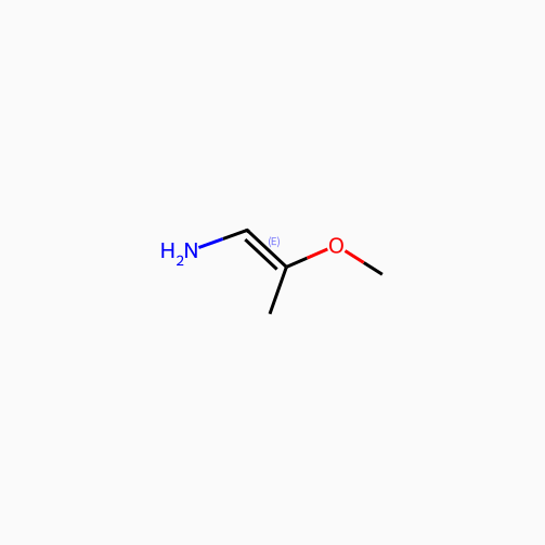 CO/C(C)=C/N